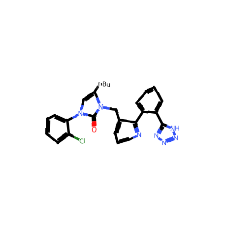 CCCCc1cn(-c2ccccc2Cl)c(=O)n1Cc1cccnc1-c1ccccc1-c1nnn[nH]1